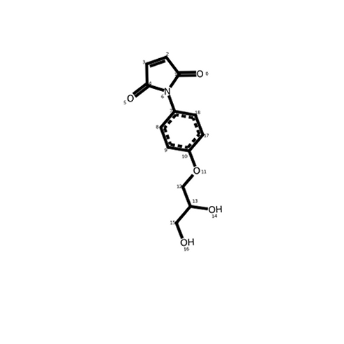 O=C1C=CC(=O)N1c1ccc(OCC(O)CO)cc1